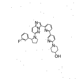 OC1CCN(c2ccc(-c3cccc(-c4cnc5ccc(N6CCCC6c6cccc(F)c6)nn45)n3)cn2)CC1